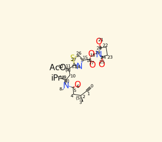 C#C[C@@H](C)CC(=O)N(C)[C@H](C[C@@H](OC(C)=O)c1nc(C(=O)ON2C(=O)CCC2=O)cs1)C(C)C